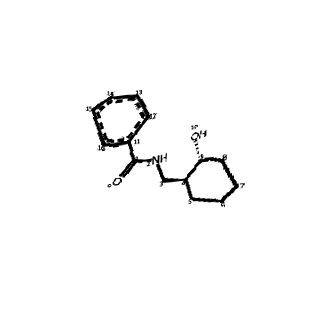 O=C(NC[C@@H]1CCCC[C@H]1O)c1[c]cccc1